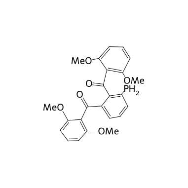 COc1cccc(OC)c1C(=O)c1cccc(P)c1C(=O)c1c(OC)cccc1OC